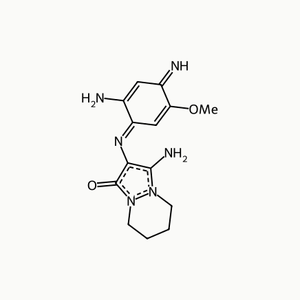 COC1=C/C(=N\c2c(N)n3n(c2=O)CCCC3)C(N)=CC1=N